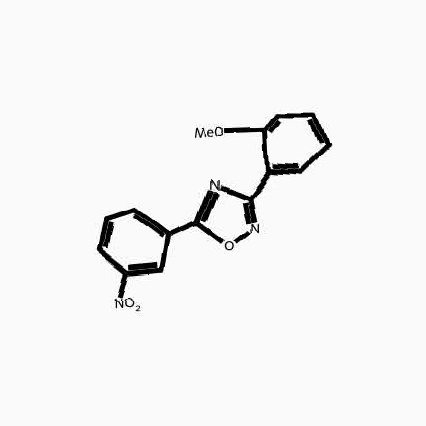 COc1ccccc1-c1noc(-c2cccc([N+](=O)[O-])c2)n1